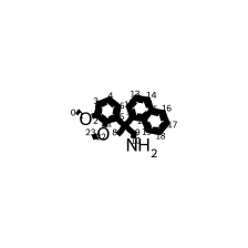 COc1cccc(C(C)(CN)c2cccc3ccccc23)c1OC